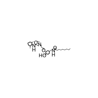 CCCCCCCCC(=O)NCc1ccc(O)c(OCCCN(CC)CC(=O)Nc2c(C)cccc2C)c1